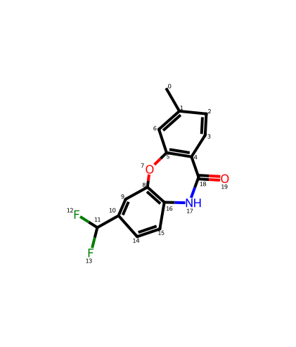 Cc1ccc2c(c1)Oc1cc(C(F)F)ccc1NC2=O